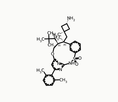 Cc1cccc(C)c1-c1cc2nc(n1)NS(=O)(=O)c1cccc(c1)[C@](C)(C[C@]1(C)C[C@@H](N)C1)[C@H](CC(C)(C)C)CO2